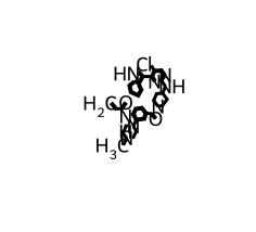 C=CC(=O)Nc1ccc(C(=O)N2CCC(Nc3ncc(Cl)c(-c4c[nH]c5ccccc45)n3)CC2)cc1N1CCN(C)CC1